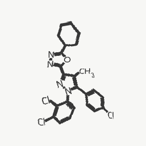 Cc1c(-c2nnc(C3CCCCC3)o2)nn(-c2cccc(Cl)c2Cl)c1-c1ccc(Cl)cc1